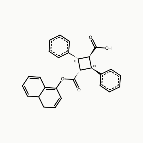 O=C(O)[C@H]1[C@@H](c2ccccc2)[C@H](C(=O)OC2=C3C=CC=CC3CC=C2)[C@@H]1c1ccccc1